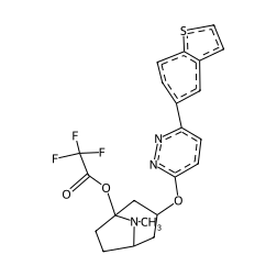 CN1C2CCC1(OC(=O)C(F)(F)F)CC(Oc1ccc(-c3ccc4sccc4c3)nn1)C2